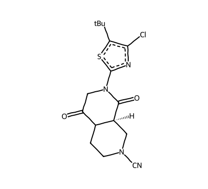 CC(C)(C)c1sc(N2CC(=O)C3CCN(C#N)C[C@@H]3C2=O)nc1Cl